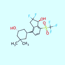 CC1(C)C[C@H](O)C[C@@H](c2ccc(S(=O)(=O)C(F)(F)F)c3c2CC(F)(F)[C@H]3O)C1